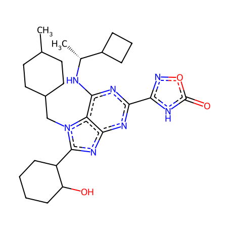 CC1CCC(Cn2c(C3CCCCC3O)nc3nc(-c4noc(=O)[nH]4)nc(N[C@H](C)C4CCC4)c32)CC1